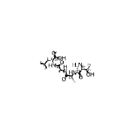 CC(C)C[C@H](NC(=O)CNC(=O)[C@H](C)NC(=O)[C@@H](N)[C@@H](C)O)C(=O)O